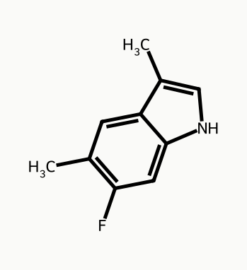 Cc1cc2c(C)c[nH]c2cc1F